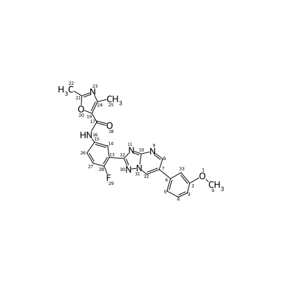 COc1cccc(-c2cnc3nc(-c4cc(NC(=O)c5oc(C)nc5C)ccc4F)nn3c2)c1